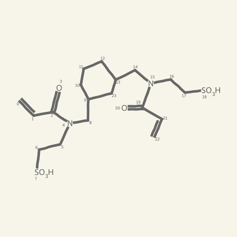 C=CC(=O)N(CCS(=O)(=O)O)CC1CCCC(CN(CCS(=O)(=O)O)C(=O)C=C)C1